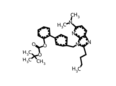 CCCCc1nc2ccc(N(C)C)nc2n1Cc1ccc(-c2ccccc2OC(=O)OC(C)(C)C)cc1